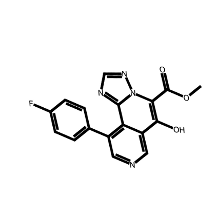 COC(=O)c1c(O)c2cncc(-c3ccc(F)cc3)c2c2ncnn12